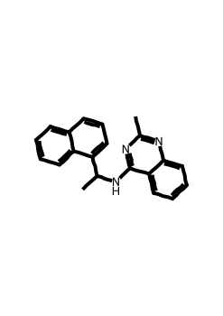 Cc1nc(NC(C)c2cccc3ccccc23)c2ccccc2n1